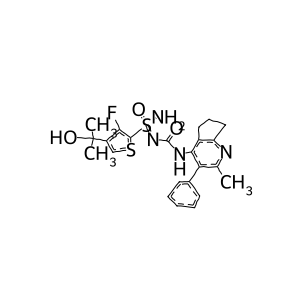 Cc1nc2c(c(NC(=O)N=[S@](N)(=O)c3scc(C(C)(C)O)c3F)c1-c1ccccc1)CCC2